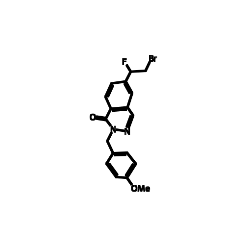 COc1ccc(Cn2ncc3cc(C(F)CBr)ccc3c2=O)cc1